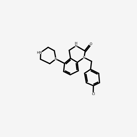 O=C1NCc2c(N3CCNCC3)cccc2N1Cc1ccc(Cl)cc1